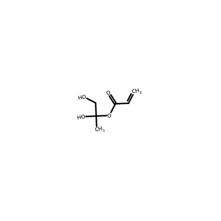 C=CC(=O)OC(C)(O)CO